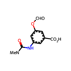 CNC(=O)Nc1cc(OC=O)cc(C(=O)O)c1